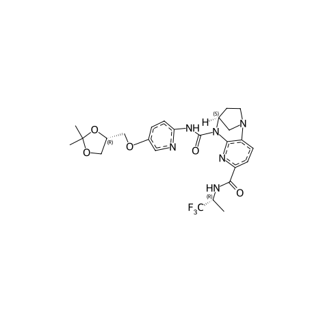 C[C@@H](NC(=O)c1ccc2c(n1)N(C(=O)Nc1ccc(OC[C@@H]3COC(C)(C)O3)cn1)[C@H]1CCN2C1)C(F)(F)F